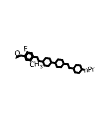 CCCC1CCC(CCC2CCC(C3CCC(CCc4cc(F)c(C5CO5)cc4C)CC3)CC2)CC1